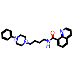 O=C(NCCCCN1CCN(c2ccccc2)CC1)c1cccc2cccnc12